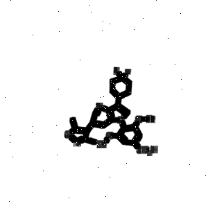 CCOc1cc(C(=O)O)cc(OCC)c1-n1cc(C2CCC(F)(F)CC2)c2ncc(-c3c(C)noc3C)cc21